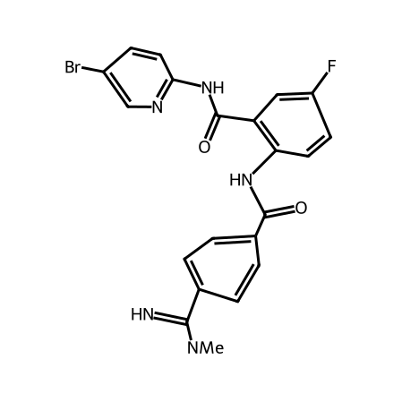 CNC(=N)c1ccc(C(=O)Nc2ccc(F)cc2C(=O)Nc2ccc(Br)cn2)cc1